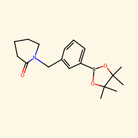 CC1(C)OB(c2cccc(CN3CCCCC3=O)c2)OC1(C)C